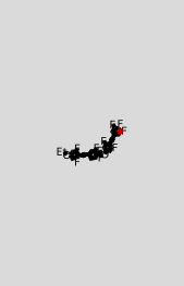 CCOc1cc(F)c(C#Cc2ccc(C(F)(F)Oc3cc(F)c(C#Cc4cc(F)c(F)c(F)c4)c(F)c3)c(F)c2)c(F)c1